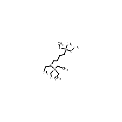 CCN(CCCC[Si](C)(OC)OC)[Si](CC)(CC)CC